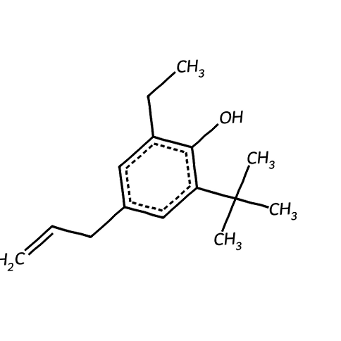 C=CCc1cc(CC)c(O)c(C(C)(C)C)c1